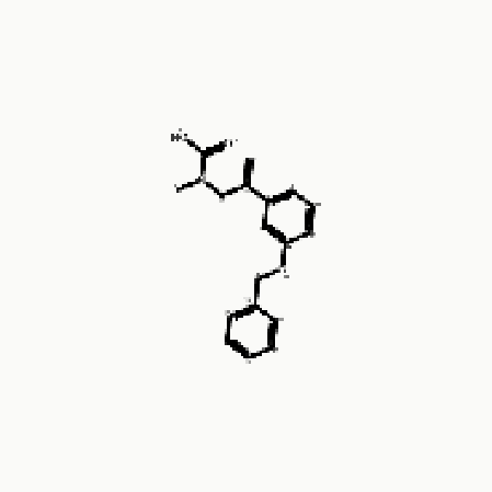 C=C(CN(C)C(=O)O)c1cccc(OCc2ccccc2)c1